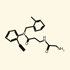 C#Cc1ccccc1N(Cc1ccccc1C)C(=O)CCNC(=O)CN